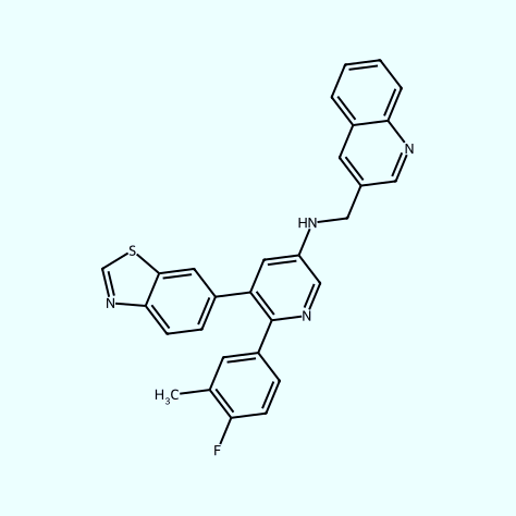 Cc1cc(-c2ncc(NCc3cnc4ccccc4c3)cc2-c2ccc3ncsc3c2)ccc1F